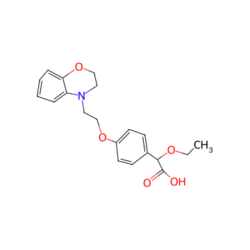 CCOC(C(=O)O)c1ccc(OCCN2CCOc3ccccc32)cc1